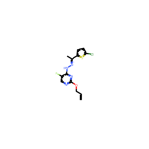 C=CCOc1ncc(F)c(N/N=C(\C)c2ccc(Cl)s2)n1